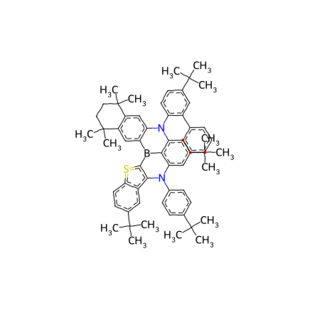 CC(C)(C)c1ccc(N2c3cc(C(C)(C)C)cc4c3B(c3cc5c(cc3N4c3ccc(C(C)(C)C)cc3-c3ccccc3)C(C)(C)CCC5(C)C)c3sc4ccc(C(C)(C)C)cc4c32)cc1